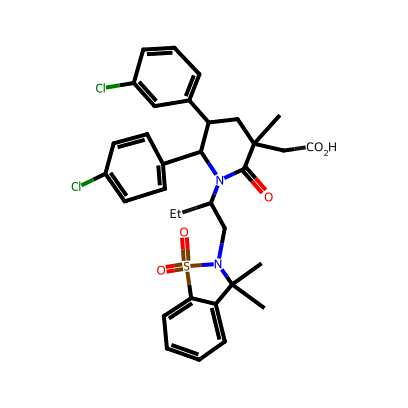 CCC(CN1C(C)(C)c2ccccc2S1(=O)=O)N1C(=O)C(C)(CC(=O)O)CC(c2cccc(Cl)c2)C1c1ccc(Cl)cc1